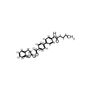 CCCCC(=O)Nc1ccc(-c2ccc(C(=O)C[C@@H](Cc3ccccc3)C(=O)O)cc2)cc1